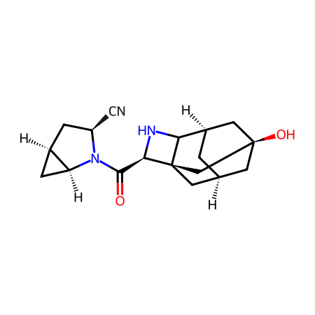 N#C[C@@H]1C[C@@H]2C[C@@H]2N1C(=O)[C@H]1NC2[C@@H]3C[C@H]4C[C@@](O)(C3)C[C@]21C4